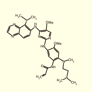 C=CC(=O)Nc1cc(Nc2ncc(OC)c(Nc3ccc4nccnc4c3P(C)C)n2)c(OC)cc1N(C)CCN(C)C